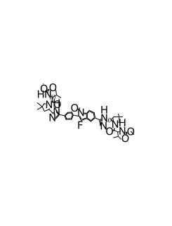 COC(=O)NC(C(=O)N1CC(C)(C)C[C@H]1c1ncc(-c2ccc3c(c2)c(F)c2n3COc3cc(-c4cnc(C5CC(C)(C)CN5C(=O)[C@@H](NC(=O)OC)C(C)C)[nH]4)ccc3-2)[nH]1)C(C)C